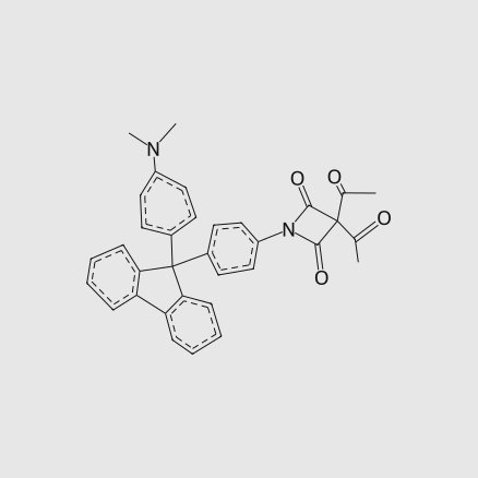 CC(=O)C1(C(C)=O)C(=O)N(c2ccc(C3(c4ccc(N(C)C)cc4)c4ccccc4-c4ccccc43)cc2)C1=O